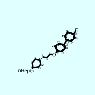 CCCCCCC[C@H]1CC[C@H](CCCOc2ccc(-c3ccc(F)cc3)cc2)CC1